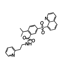 CC(C)c1ccc(S(=O)(=O)c2cccc3cccnc23)cc1S(=O)(=O)NCCc1ccccn1